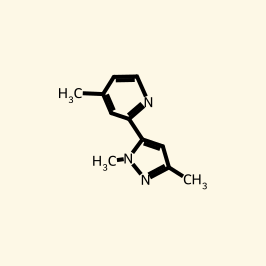 Cc1ccnc(-c2cc(C)nn2C)c1